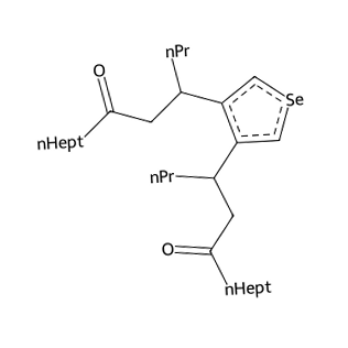 CCCCCCCC(=O)CC(CCC)c1c[se]cc1C(CCC)CC(=O)CCCCCCC